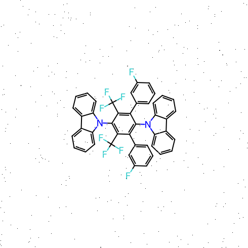 Fc1cccc(-c2c(-n3c4ccccc4c4ccccc43)c(-c3cccc(F)c3)c(C(F)(F)F)c(-n3c4ccccc4c4ccccc43)c2C(F)(F)F)c1